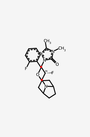 Cc1nn(C[C@H](F)CN2C3CCC2CC(OCc2ccccc2F)C3)c(=O)n1C